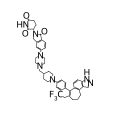 O=C1CC[C@H](N2Cc3cc(N4CCN(CC5CCN(c6ccc(C7=C(CC(F)(F)F)CCCc8c7ccc7[nH]ncc87)cc6)CC5)CC4)ccc3C2=O)C(=O)N1